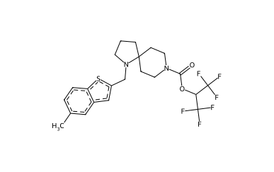 Cc1ccc2sc(CN3CCCC34CCN(C(=O)OC(C(F)(F)F)C(F)(F)F)CC4)cc2c1